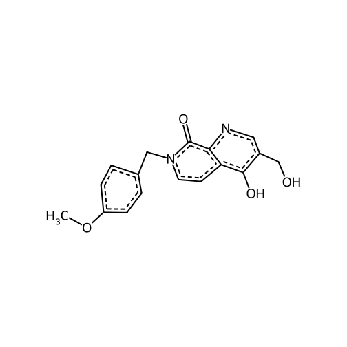 COc1ccc(Cn2ccc3c(O)c(CO)cnc3c2=O)cc1